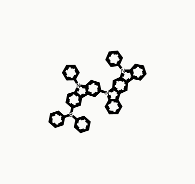 c1ccc(B(c2ccccc2)c2ccc3c(c2)c2cc(-n4c5ccccc5c5cc6c7ccccc7n(-c7ccccc7)c6cc54)ccc2n3-c2ccccc2)cc1